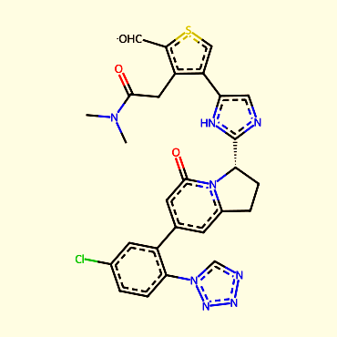 CN(C)C(=O)Cc1c(-c2cnc([C@@H]3CCc4cc(-c5cc(Cl)ccc5-n5cnnn5)cc(=O)n43)[nH]2)csc1[C]=O